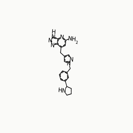 Nc1cc(Cc2cnn(Cc3cccc(C4CCCN4)c3)c2)c2nn[nH]c2n1